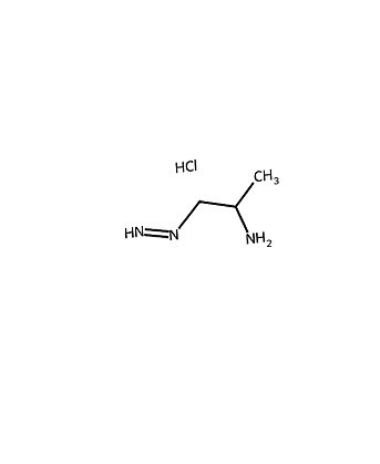 CC(N)CN=N.Cl